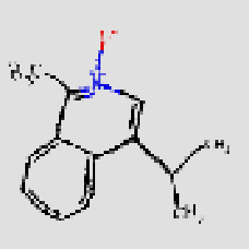 Cc1c2ccccc2c(C(C)C)c[n+]1[O-]